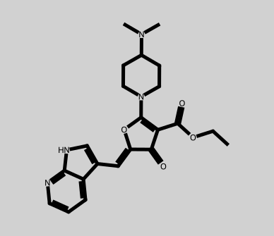 CCOC(=O)C1=C(N2CCC(N(C)C)CC2)OC(=Cc2c[nH]c3ncccc23)C1=O